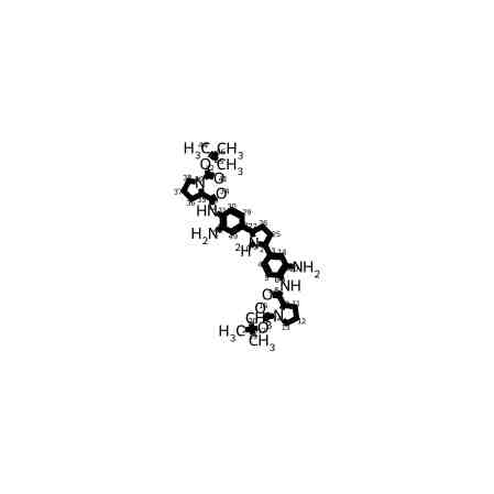 [2H]N1C(c2ccc(NC(=O)C3CCCN3C(=O)OC(C)(C)C)c(N)c2)CCC1c1ccc(NC(=O)C2CCCN2C(=O)OC(C)(C)C)c(N)c1